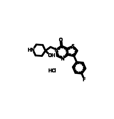 Cl.O=c1c2scc(-c3ccc(F)cc3)c2ncn1CC1(O)CCNCC1